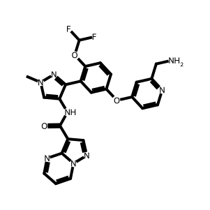 Cn1cc(NC(=O)c2cnn3cccnc23)c(-c2cc(Oc3ccnc(CN)c3)ccc2OC(F)F)n1